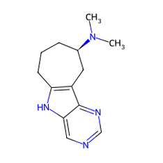 CN(C)[C@@H]1CCCc2[nH]c3cncnc3c2C1